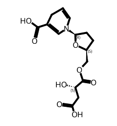 O=C(O)C[C@H](O)C(=O)OC[C@@H]1CC[C@H](N2C=CCC(C(=O)O)=C2)O1